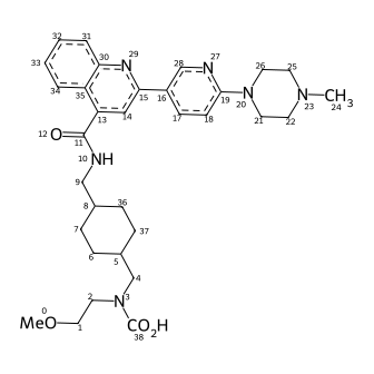 COCCN(CC1CCC(CNC(=O)c2cc(-c3ccc(N4CCN(C)CC4)nc3)nc3ccccc23)CC1)C(=O)O